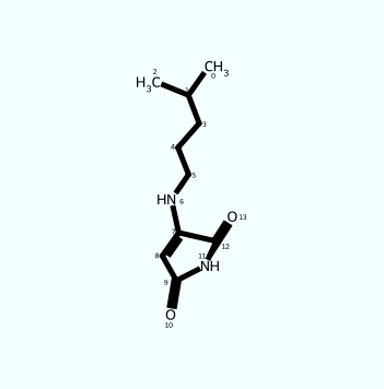 CC(C)CCCNC1=CC(=O)NC1=O